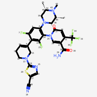 C[C@@H]1CN(c2cc(F)c(C3=CCCN(c4ncc(C#N)s4)C3)c(F)c2-n2cc(C(N)=O)c(C(F)(F)F)cc2=O)C[C@H](C)N1C